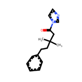 CC(C)(CCc1ccccc1)CC(=O)n1ccnc1